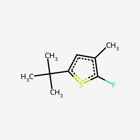 Cc1cc(C(C)(C)C)sc1F